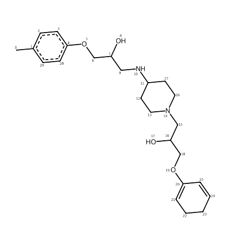 Cc1ccc(OCC(O)CNC2CCN(CC(O)COC3=CCCC=C3)CC2)cc1